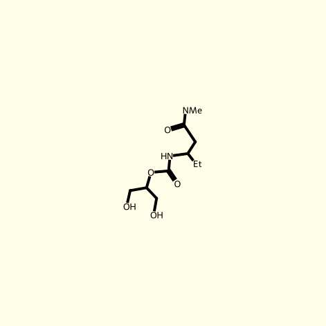 CCC(CC(=O)NC)NC(=O)OC(CO)CO